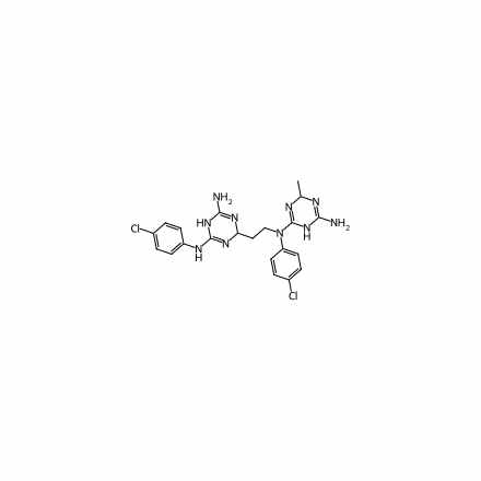 CC1N=C(N)NC(N(CCC2N=C(N)NC(Nc3ccc(Cl)cc3)=N2)c2ccc(Cl)cc2)=N1